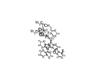 CC(C)CC1=CC2C3=C(CCC=C3)C3/C(=C4\C5=C=CC6=C(OC7C=CC=C(F)C67)C5C5N(C6=CCCC7=C6CCC=C7)C6=C(CCCC6)N45)C3N2C=C1[Si](C)(C)C